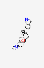 C[C@]12CC=C3C=C4CC[C@@H](N5CCC5)C[C@]45CCC3(O5)[C@@H]1CC[C@@H]2c1ccc2ccncc2c1